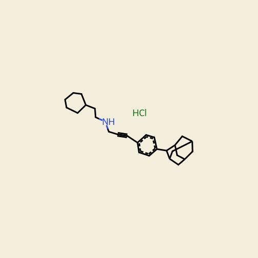 C(#Cc1ccc(C2C3CC4CC(C3)CC2C4)cc1)CNCCC1CCCCC1.Cl